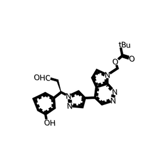 CC(C)(C)C(=O)OCn1ccc2c(-c3cnn([C@H](CC=O)c4cccc(O)c4)c3)cnnc21